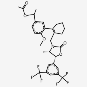 COc1ccc(C(C)OC(C)=O)cc1C1=C(CN2C(=O)O[C@H](c3cc(C(F)(F)F)cc(C(F)(F)F)c3)[C@@H]2C)CCCC1